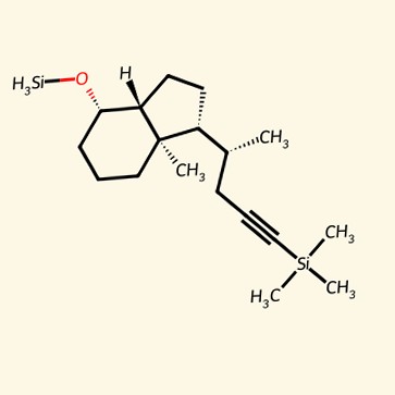 C[C@H](CC#C[Si](C)(C)C)[C@H]1CC[C@H]2[C@@H](O[SiH3])CCC[C@]12C